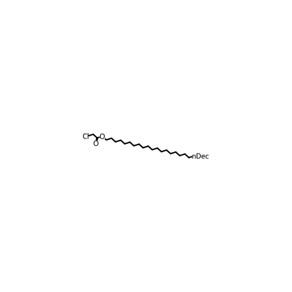 CCCCCCCCCCCCCCCCCCCCCCCCCCCCCOC(=O)CCl